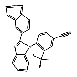 N#Cc1ccc(-n2c(-c3ccc4ccccc4c3)nc3ccccc32)c(C(F)(F)F)c1